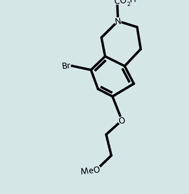 COCCOc1cc(Br)c2c(c1)CCN(C(=O)O)C2